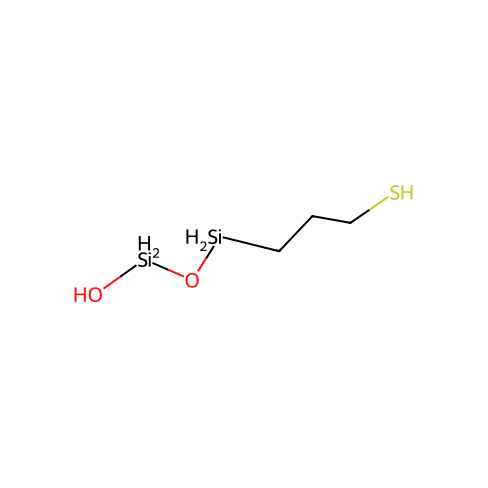 O[SiH2]O[SiH2]CCCS